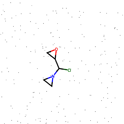 ClC(C1CO1)N1CC1